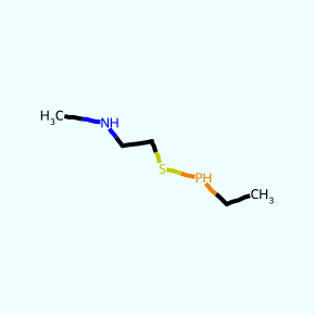 CCPSCCNC